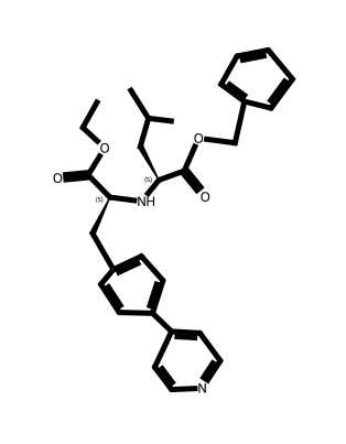 CCOC(=O)[C@H](Cc1ccc(-c2ccncc2)cc1)N[C@@H](CC(C)C)C(=O)OCc1ccccc1